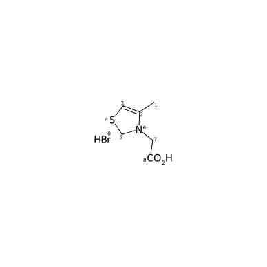 Br.CC1=CSCN1CC(=O)O